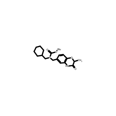 CC1Oc2ccc(CN(CC3CCCCC3)C(=O)OC(C)(C)C)cc2NC1=O